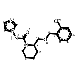 O=C(Nn1ccnc1)N1CCCCC1COCc1ccccc1Cl